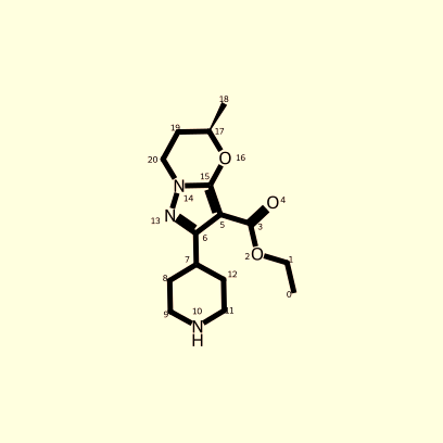 CCOC(=O)c1c(C2CCNCC2)nn2c1O[C@H](C)CC2